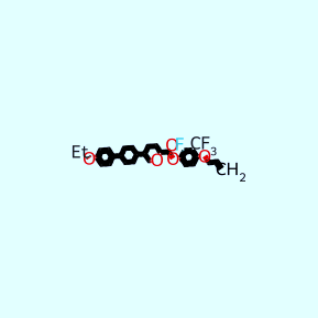 C=CCOc1ccc(OC(=O)C2CCC(C3CCC(c4ccc(OCC)cc4)CC3)CO2)c(F)c1C(F)(F)F